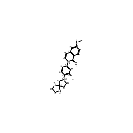 COc1ccc2c(=O)n(-c3ccc(N4CCC5(C4)OCCO5)c(F)c3)ccc2c1